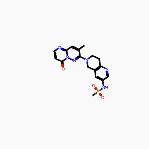 Cc1cc2nccc(=O)n2nc1N1CCc2ncc(NS(C)(=O)=O)cc2C1